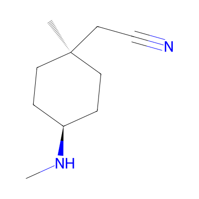 CN[C@H]1CC[C@@](C)(CC#N)CC1